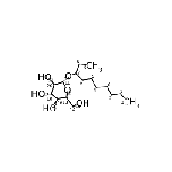 CCCCCCCC(CC)O[C@@H]1OC(CO)[C@@H](O)C(O)C1O